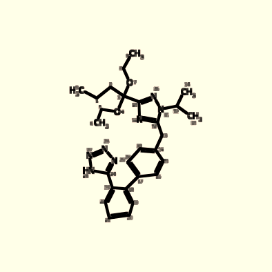 CCCC(OCC)(OCC)c1nc(Cc2ccc(-c3ccccc3-c3nnn[nH]3)cc2)n(C(C)C)n1